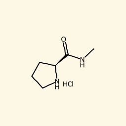 CNC(=O)[C@@H]1CCCN1.Cl